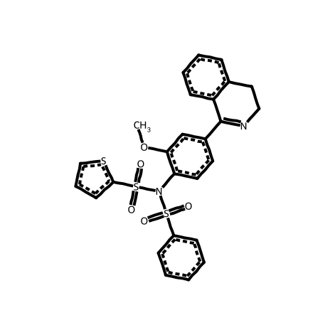 COc1cc(C2=NCCc3ccccc32)ccc1N(S(=O)(=O)c1ccccc1)S(=O)(=O)c1cccs1